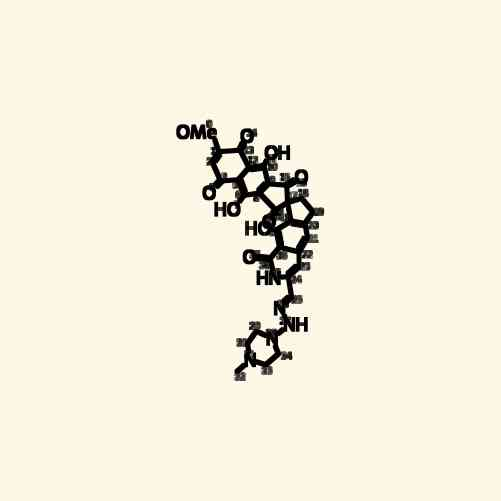 COC1=CC(=O)c2c(O)c3c(c(O)c2C1=O)C(=O)C1(CCc2cc4cc(C=NNN5CCN(C)CC5)[nH]c(=O)c4c(O)c21)C3=O